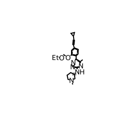 CCOCOc1cc(C#CC2CC2)ccc1-c1nnc(N[C@@H]2CCCN(C)C2)nc1C